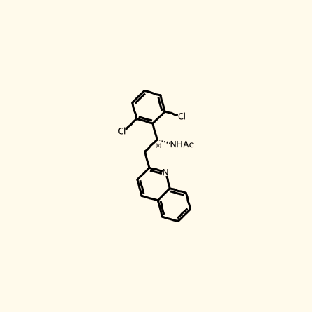 CC(=O)N[C@H](Cc1ccc2ccccc2n1)c1c(Cl)cccc1Cl